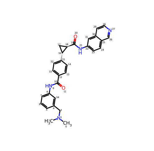 CN(C)Cc1cccc(NC(=O)c2ccc([C@@H]3C[C@H]3C(=O)Nc3ccc4cnccc4c3)cc2)c1